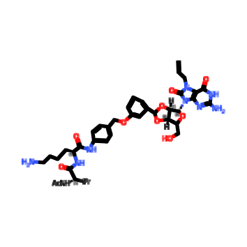 C=CCn1c(=O)n([C@@H]2OC(CO)[C@H]3OC(c4cccc(OCc5ccc(NC(=O)[C@H](CCCCN)NC(=O)[C@@H](NC(C)=O)C(C)C)cc5)c4)O[C@H]32)c2nc(N)[nH]c(=O)c21